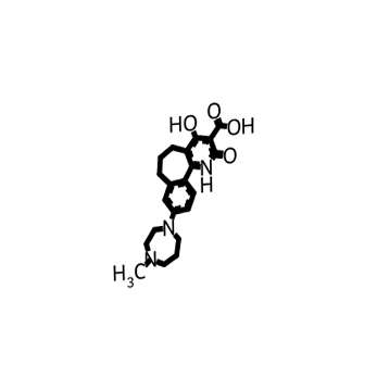 CN1CCCN(c2ccc3c(c2)CCCc2c-3[nH]c(=O)c(C(=O)O)c2O)CC1